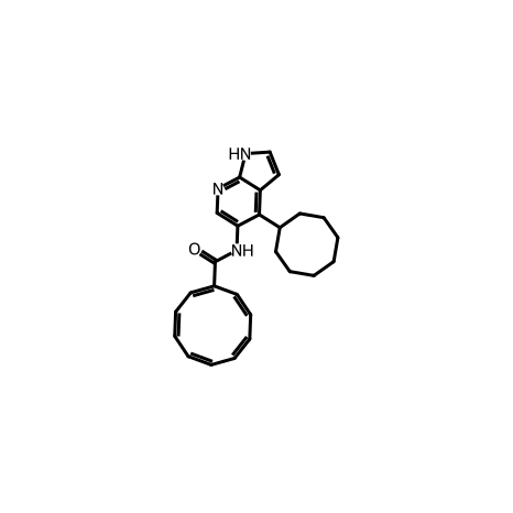 O=C(Nc1cnc2[nH]ccc2c1C1CCCCCCC1)c1ccccccccc1